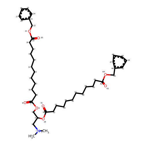 CN(C)CC(COC(=O)CCCCCCCCCCC(=O)OCc1ccccc1)OC(=O)CCCCCCCCCCC(=O)OCc1ccccc1